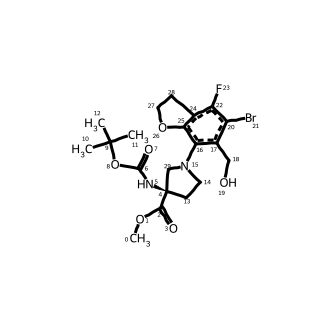 COC(=O)[C@@]1(NC(=O)OC(C)(C)C)CCN(c2c(CO)c(Br)c(F)c3c2OCC3)C1